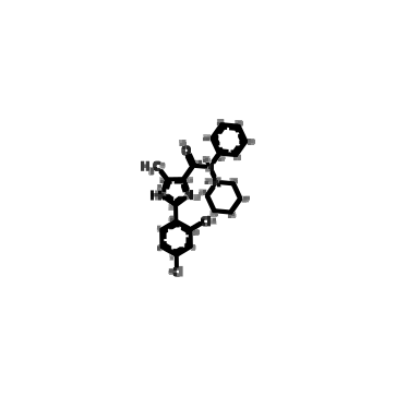 Cc1[nH]c(-c2ccc(Cl)cc2Cl)nc1C(=O)N(c1ccccc1)N1CCCCC1